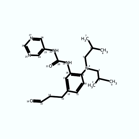 CC(C)CN(CC(C)C)c1ccc(CCC=O)cc1NC(=O)Nc1cncnc1